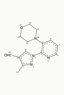 Cc1nn(-c2ncccc2N2CCOCC2)cc1C=O